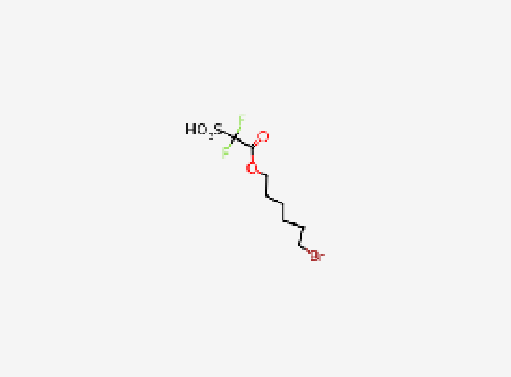 O=C(OCCCCCCBr)C(F)(F)S(=O)(=O)O